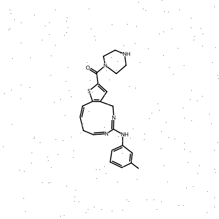 Cc1cccc(NC2=N/Cc3cc(C(=O)N4CCNCC4)sc3/C=C\C/C=N\2)c1